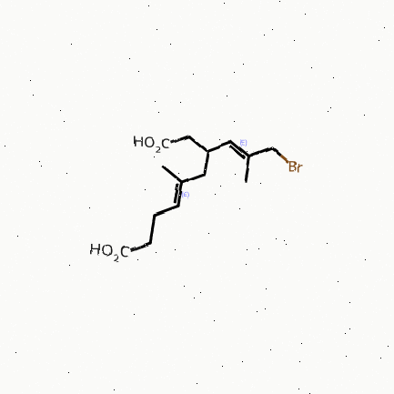 C/C(=C\C(CC(=O)O)C/C(C)=C/CCC(=O)O)CBr